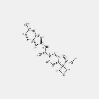 COC(=O)C1(c2ccc(C(=O)Nc3cn4cc(Cl)ccc4n3)cc2)CCC1